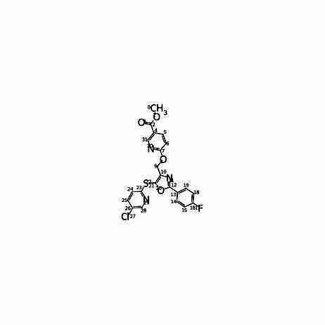 COC(=O)c1ccc(OCc2nc(-c3ccc(F)cc3)oc2Sc2ccc(Cl)cn2)nc1